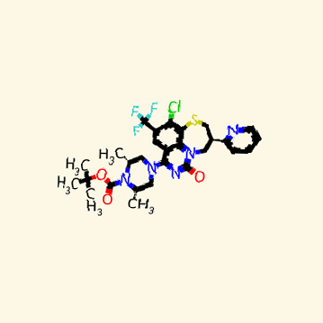 C[C@@H]1CN(c2nc(=O)n3c4c(c(Cl)c(C(F)(F)F)cc24)SC[C@@H](c2ccccn2)C3)C[C@H](C)N1C(=O)OC(C)(C)C